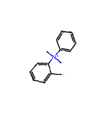 [CH2]c1ccccc1[N+](C)(C)c1ccccc1